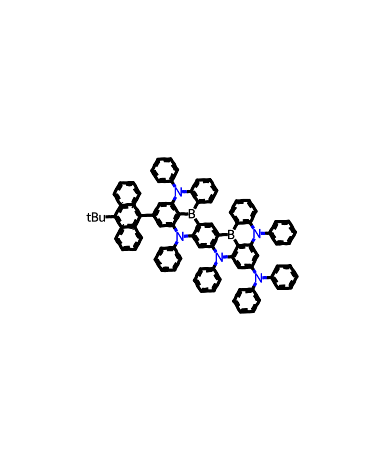 CC(C)(C)c1c2ccccc2c(-c2cc3c4c(c2)N(c2ccccc2)c2cc5c(cc2B4c2ccccc2N3c2ccccc2)B2c3ccccc3N(c3ccccc3)c3cc(N(c4ccccc4)c4ccccc4)cc(c32)N5c2ccccc2)c2ccccc12